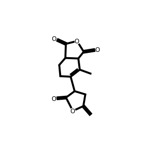 C=C1CC(C2=C(C)C3C(=O)OC(=O)C3CC2)C(=O)O1